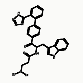 CCN(CC)CCC(=O)NC(Cc1c[nH]c2ccccc12)C(=O)c1ccc(-c2ccccc2-c2nnn[nH]2)cc1